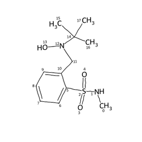 CNS(=O)(=O)c1ccccc1CN(O)C(C)(C)C